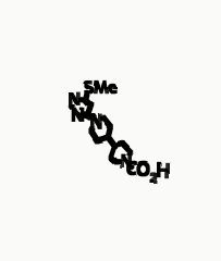 CSc1cc(N2CCC(C3CCN(C(=O)O)CC3)CC2)ncn1